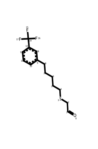 O=CCSCCC[CH]Cc1cccc(C(F)(F)F)c1